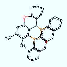 Cc1cc2c(c(P(c3ccccc3)c3ccccc3)c1C)C(P(c1ccccc1)c1ccccc1)c1ccccc1O2